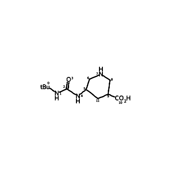 CC(C)(C)NC(=O)NC1CNCC(C(=O)O)C1